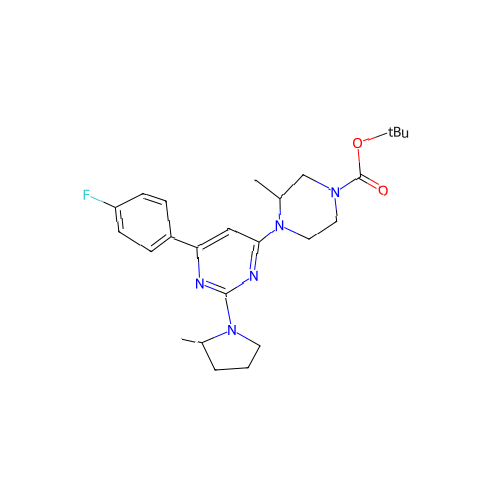 CC1CN(C(=O)OC(C)(C)C)CCN1c1cc(-c2ccc(F)cc2)nc(N2CCCC2C)n1